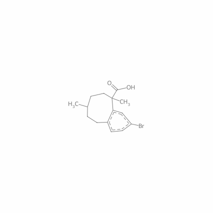 CC1CCc2ccc(Br)cc2C(C)(C(=O)O)CC1